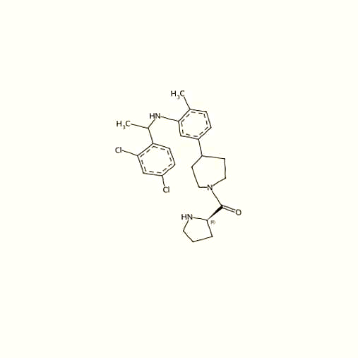 Cc1ccc(C2CCN(C(=O)[C@H]3CCCN3)CC2)cc1NC(C)c1ccc(Cl)cc1Cl